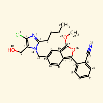 CCCCc1nc(Cl)c(CO)n1Cc1ccc2c(-c3ccccc3C#N)oc(OC)c2c1